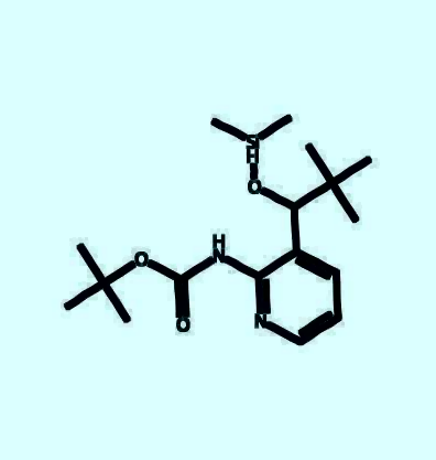 C[SiH](C)OC(c1cccnc1NC(=O)OC(C)(C)C)C(C)(C)C